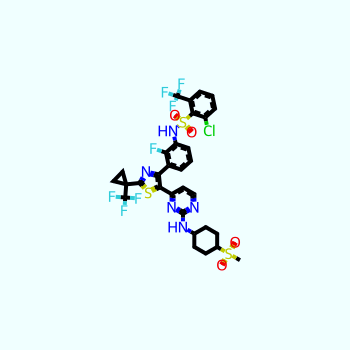 CS(=O)(=O)C1CCC(Nc2nccc(-c3sc(C4(C(F)(F)F)CC4)nc3-c3cccc(NS(=O)(=O)c4c(Cl)cccc4C(F)(F)F)c3F)n2)CC1